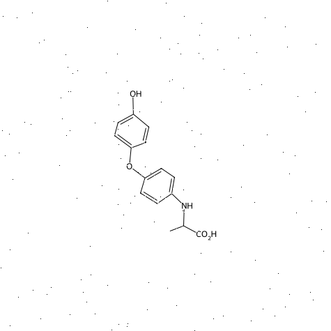 CC(Nc1ccc(Oc2ccc(O)cc2)cc1)C(=O)O